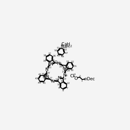 CCCCCCCCCCCCOCl.[CaH2].[NaH].c1ccc2c(c1)-c1nc-2nc2[nH]c(nc3nc(nc4[nH]c(n1)c1ccccc41)-c1ccccc1-3)c1ccccc21.c1ccccc1